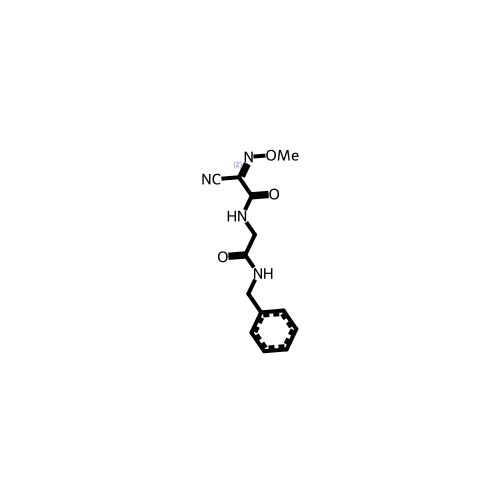 CO/N=C(/C#N)C(=O)NCC(=O)NCc1ccccc1